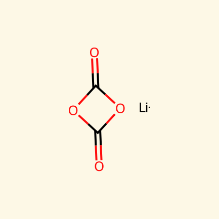 O=C1OC(=O)O1.[Li]